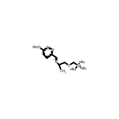 CCC[CH2][Sn]([CH2]CCC)([CH2]CCC)[CH2]OCC(C)/N=C/c1ccc(OC)nn1